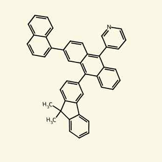 CC1(C)c2ccccc2-c2cc(-c3c4ccccc4c(-c4cccnc4)c4ccc(-c5cccc6ccccc56)cc34)ccc21